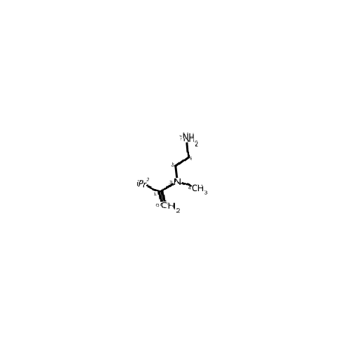 C=C(C(C)C)N(C)CCN